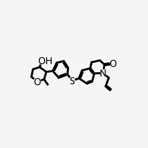 C=CCN1C(=O)CCc2cc(Sc3cccc(C4C(O)CCOC4C)c3)ccc21